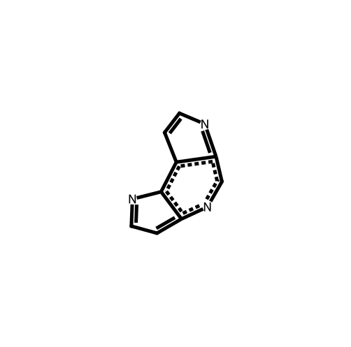 C1=Cc2c3c(ncc2=N1)=CC=N3